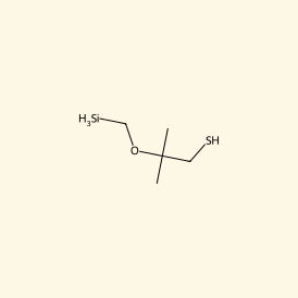 CC(C)(CS)OC[SiH3]